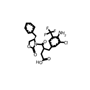 Nc1c(Cl)cc(CC(CC(=O)O)C(=O)N2C(=O)OC[C@H]2Cc2ccccc2)cc1C(F)(F)F